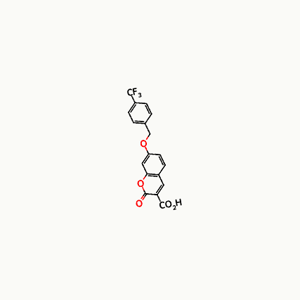 O=C(O)c1cc2ccc(OCc3ccc(C(F)(F)F)cc3)cc2oc1=O